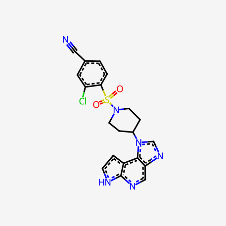 N#Cc1ccc(S(=O)(=O)N2CCC(n3cnc4cnc5[nH]ccc5c43)CC2)c(Cl)c1